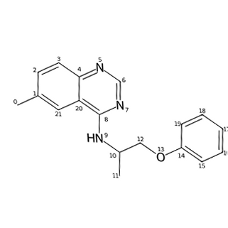 Cc1ccc2ncnc(NC(C)COc3ccccc3)c2c1